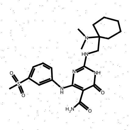 CN(C)C1(CNc2nc(Nc3cccc(S(C)(=O)=O)c3)c(C(N)=O)c(=O)[nH]2)CCCCC1